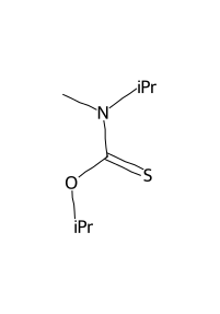 CC(C)OC(=S)N(C)C(C)C